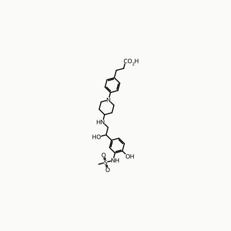 CS(=O)(=O)Nc1cc(C(O)CNC2CCN(c3ccc(CCC(=O)O)cc3)CC2)ccc1O